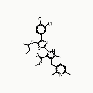 CCC(C)Sc1sc(-n2nc(C)c(Cc3ccc(C)nc3C)c2C(=O)OC)nc1-c1ccc(Cl)c(Cl)c1